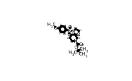 COc1ccc(S(=O)(=O)N2CCOC23CCCN(C(=O)OC(C)(C)C)C3)cc1